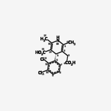 CC1=C(CC(=O)O)[C@H](c2cccc(Cl)c2Cl)C(C(=O)O)=C(C)N1